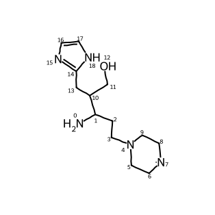 NC(CCN1CC[N]CC1)C(CO)Cc1ncc[nH]1